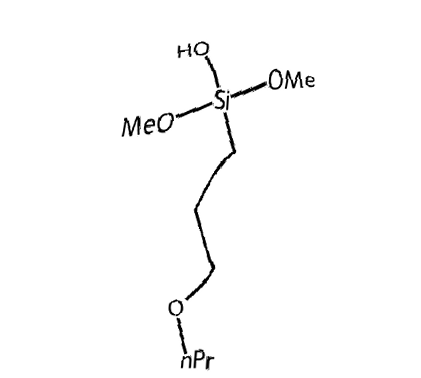 CCCOCCC[Si](O)(OC)OC